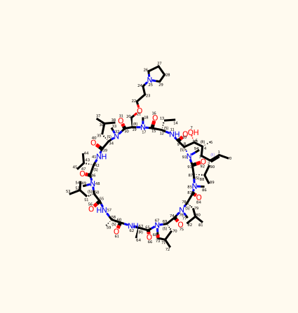 C/C=C/C[C@@H](C)[C@@H](O)[C@H]1C(=O)N[C@@H](CC)C(=O)N(C)[C@H](COCCCN2CCCC2)C(=O)N(C)[C@@H](CC(C)C)C(=O)N[C@@H](C(C)C)C(=O)N(C)[C@@H](CC(C)C)C(=O)N[C@@H](C)C(=O)N[C@H](C)C(=O)N(C)[C@@H](CC(C)C)C(=O)N(C)[C@@H](CC(C)C)C(=O)N(C)[C@@H](C(C)C)C(=O)N1C